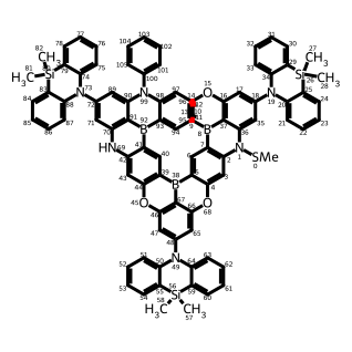 CSN1c2cc3c(cc2B2c4ccccc4Oc4cc(N5c6ccccc6[Si](C)(C)c6ccccc65)cc1c42)B1c2cc4c(cc2Oc2cc(N5c6ccccc6[Si](C)(C)c6ccccc65)cc(c21)O3)Nc1cc(N2c3ccccc3[Si](C)(C)c3ccccc32)cc2c1B4c1ccccc1N2c1ccccc1